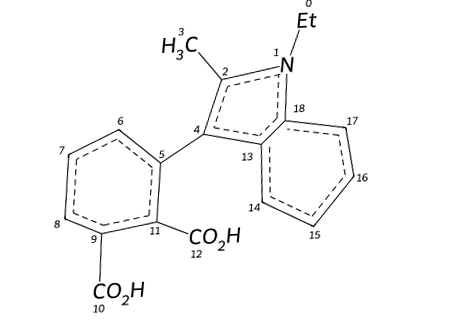 CCn1c(C)c(-c2cccc(C(=O)O)c2C(=O)O)c2ccccc21